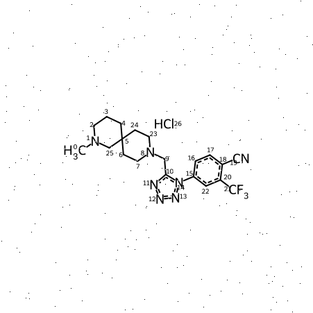 CN1CCCC2(CCN(Cc3nnnn3-c3ccc(C#N)c(C(F)(F)F)c3)CC2)C1.Cl